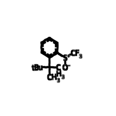 CC(C)(C)C(C)(C)c1ccccc1[S+]([O-])C(F)(F)F